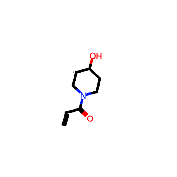 C=CC(=O)N1C[CH]C(O)CC1